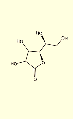 O=C1O[C@H]([C@@H](O)CO)C(O)C1O